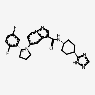 O=C(N[C@H]1CC[C@H](c2ncn[nH]2)CC1)c1cnn2ccc(N3CCC[C@@H]3c3cc(F)ccc3F)cc12